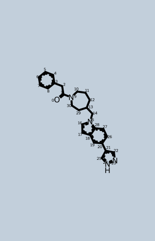 O=C(Cc1ccccc1)N1CCCC(Cn2ccc3cc(-c4cn[nH]c4)ccc32)CC1